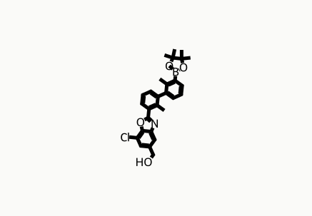 Cc1c(B2OC(C)(C)C(C)(C)O2)cccc1-c1cccc(-c2nc3cc(CO)cc(Cl)c3o2)c1C